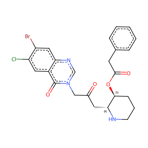 O=C(C[C@H]1NCCC[C@@H]1OC(=O)Cc1ccccc1)Cn1cnc2cc(Br)c(Cl)cc2c1=O